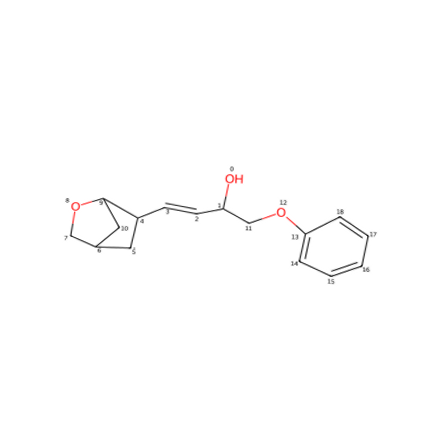 OC(C=CC1[CH]C2COC1C2)COc1ccccc1